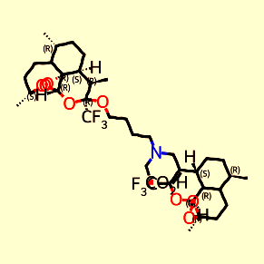 C[C@@H]1CC[C@H]2C(CN(CCCCO[C@@]3(C(F)(F)F)O[C@@H]4O[C@]5(C)CCC6[C@H](C)CC[C@@H]([C@H]3C)[C@]64OO5)CC(=O)O)=C(C(F)(F)F)O[C@@H]3O[C@]4(C)CCC1[C@]32O4